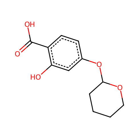 O=C(O)c1ccc(OC2CCCCO2)cc1O